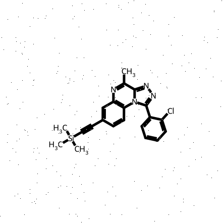 Cc1nc2cc(C#C[Si](C)(C)C)ccc2n2c(-c3ccccc3Cl)nnc12